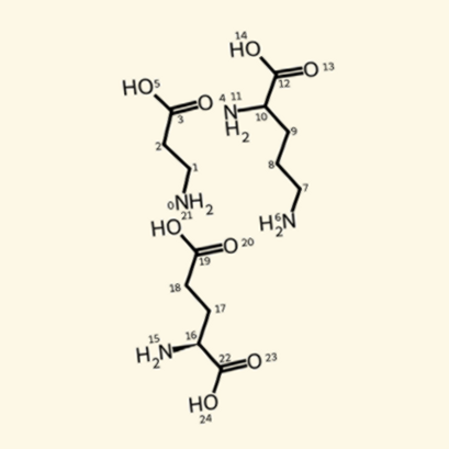 NCCC(=O)O.NCCCC(N)C(=O)O.N[C@@H](CCC(=O)O)C(=O)O